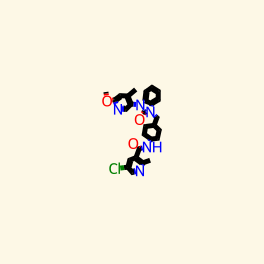 COc1cc(C)c(-n2c(=O)n(CC3CCC(NC(=O)c4cc(Cl)cnc4C)CC3)c3ccccc32)cn1